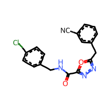 N#Cc1cccc(Cc2nnc(C(=O)NCc3ccc(Cl)cc3)o2)c1